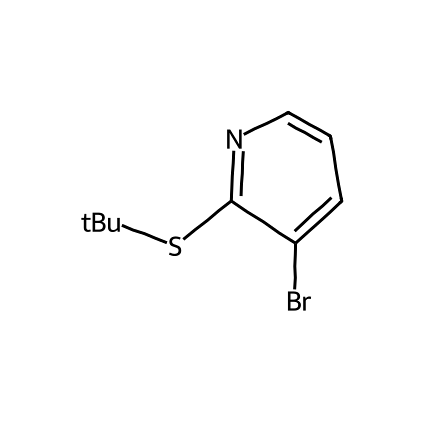 CC(C)(C)Sc1ncccc1Br